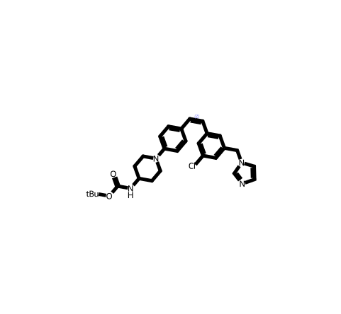 CC(C)(C)OC(=O)NC1CCN(c2ccc(/C=C\c3cc(Cl)cc(Cn4ccnc4)c3)cc2)CC1